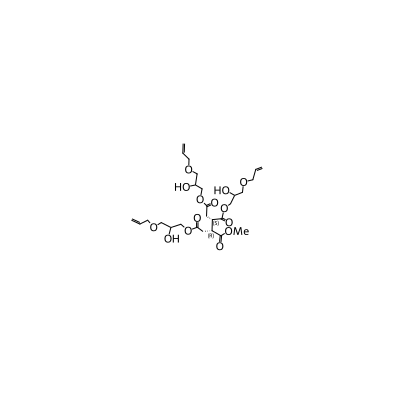 C=CCOCC(O)COC(=O)C[C@H](C(=O)OCC(O)COCC=C)[C@@H](CC(=O)OCC(O)COCC=C)C(=O)OC